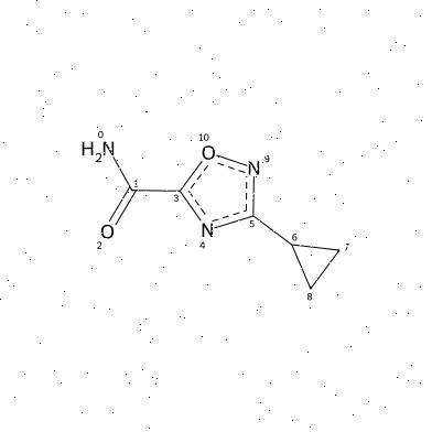 NC(=O)c1nc(C2CC2)no1